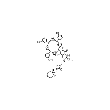 CC(Nc1c(F)c(F)c(-c2c3nc(c(-c4cccc(O)c4)c4ccc([nH]4)c(-c4cccc(O)c4)c4nc(c(-c5cccc(O)c5)c5ccc2[nH]5)C=C4)C=C3)c(F)c1F)SSCCNC(=O)OC[C@H]1[C@@H]2CCC#CCC[C@@H]21